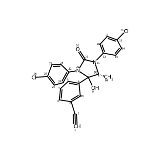 C#Cc1cccc(C2(O)[C@@H](C)N(c3ccc(Cl)cc3)C(=O)N2c2ccc(Cl)cc2)c1